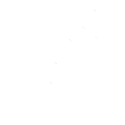 O=C(CNc1c(-c2ccccc2F)nc2cnccn12)N1CCN(C2c3ccccc3CCc3ccccc32)CC1